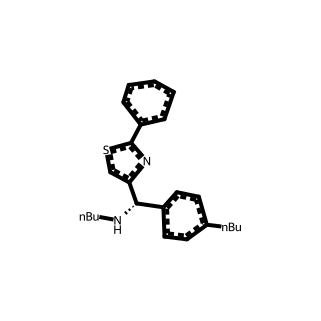 CCCCN[C@@H](c1ccc(CCCC)cc1)c1csc(-c2ccccc2)n1